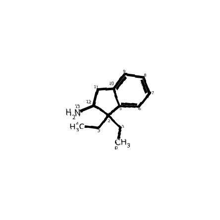 CCC1(CC)c2ccccc2CC1N